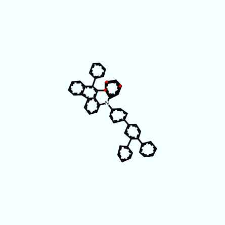 c1ccc(-c2ccc(-c3ccc(N(c4ccccc4)c4cccc5c4c(-c4ccccc4)c(-c4ccccc4)c4ccccc45)cc3)cc2-c2ccccc2)cc1